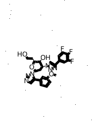 COc1cccc(-c2cnnn2[C@H]2C[C@@H](n3cc(-c4cc(F)c(F)c(F)c4)nn3)[C@@H](O)[C@@H](CCO)O2)c1